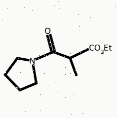 CCOC(=O)C(C)C(=O)N1CCCC1